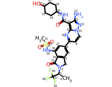 C[C@H](N1Cc2cc(-c3ccn4nc(N)c(C(=O)NC5CCC(O)CC5)c4n3)cc(NS(C)(=O)=O)c2C1=O)C(F)(F)F